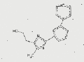 Cc1sc(-c2cccc(-c3ccccc3)c2)nc1CCO